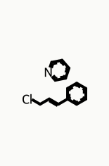 ClCC=Cc1ccccc1.c1ccncc1